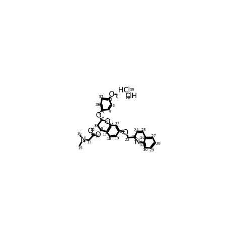 COc1ccc(OC2CC(OC(=O)CN(C)C)c3ccc(OCc4ccc5ccccc5n4)cc3O2)cc1.Cl.Cl